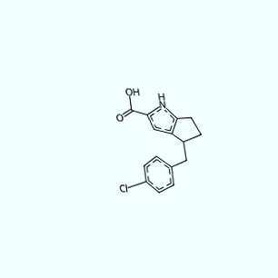 O=C(O)c1cc2c([nH]1)CCC2Cc1ccc(Cl)cc1